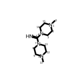 CN1CCN(C(=N)N2CCN(C)CC2)CC1